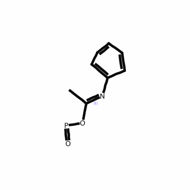 C/C(=N\c1ccccc1)OP=O